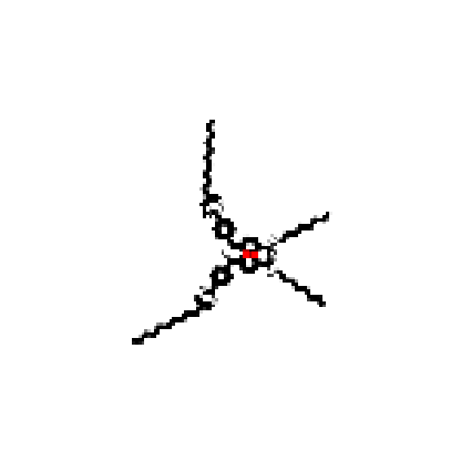 CCCCCCCCCCc1cnc(-c2ccc(C(OC(c3ccc(C(=O)OCCCCCCCC)cc3)c3ccc(-c4ncc(CCCCCCCCCC)cn4)cc3)c3ccc(C(=O)OCCCCCCCC)cc3)cc2)nc1